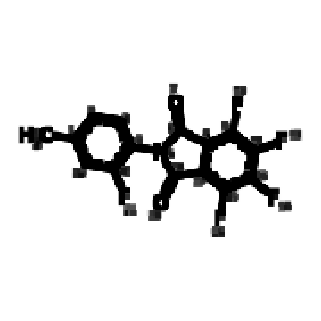 Cc1ccc(N2C(=O)c3c(F)c(F)c(F)c(F)c3C2=O)c(F)c1